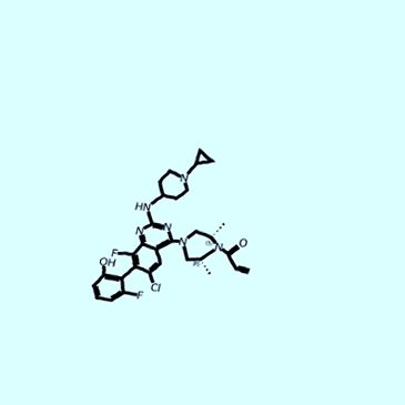 C=CC(=O)N1[C@H](C)CN(c2nc(NC3CCN(C4CC4)CC3)nc3c(F)c(-c4c(O)cccc4F)c(Cl)cc23)C[C@@H]1C